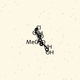 COCc1cc(N2C[C@H](CNC(=O)c3ccc(Cl)s3)OC2=O)ccc1-n1cccc(CCNC2CCC(O)CC2)c1=O